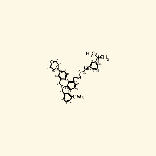 COc1cccc(CN(Cc2cccc(N3CCOCC3)c2)c2cccc(COCCOc3cccc(N(C)C)c3)c2)c1